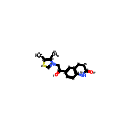 Cc1sc[n+](CC(=O)c2ccc3c(c2)CCC(=O)N3)c1C